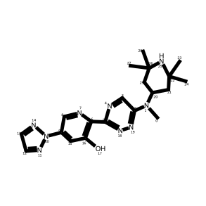 CN(c1cnc(-c2ncc(-n3nccn3)cc2O)nn1)C1CC(C)(C)NC(C)(C)C1